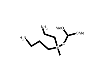 COC(OC)O[Si](C)(CCN)CCCN